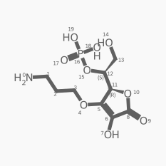 NCCCOC1=C(O)C(=O)O[C@@H]1[C@H](CO)OP(=O)(O)O